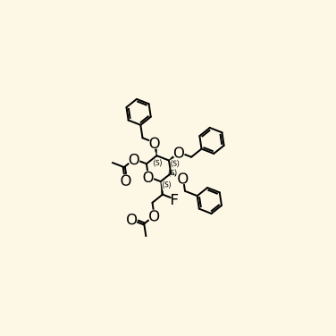 CC(=O)OCC(F)[C@H]1OC(OC(C)=O)[C@@H](OCc2ccccc2)[C@@H](OCc2ccccc2)[C@@H]1OCc1ccccc1